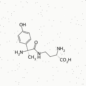 C[C@@](N)(C(=O)NCC[C@H](N)C(=O)O)c1ccc(O)cc1